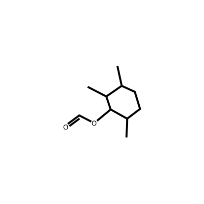 CC1CCC(C)C(OC=O)C1C